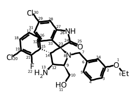 CCOc1cccc(CN2[C@@H](CO)[C@@H](N)[C@H](c3cccc(Cl)c3F)[C@]23C(=O)Nc2cc(Cl)ccc23)c1